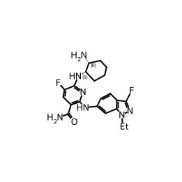 CCn1nc(F)c2ccc(Nc3nc(N[C@H]4CCCC[C@H]4N)c(F)cc3C(N)=O)cc21